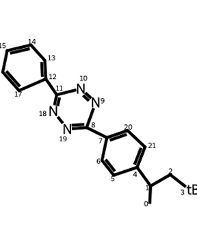 CC(CC(C)(C)C)c1ccc(-c2nnc(-c3ccccc3)nn2)cc1